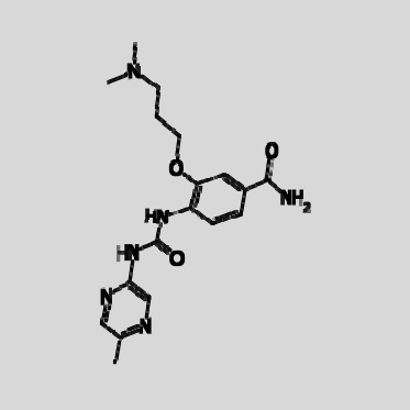 Cc1cnc(NC(=O)Nc2ccc(C(N)=O)cc2OCCCN(C)C)cn1